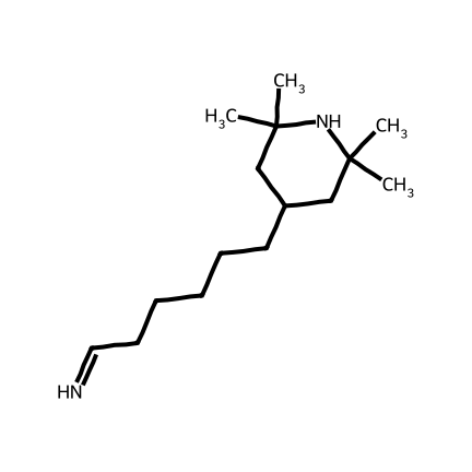 CC1(C)CC(CCCCCC=N)CC(C)(C)N1